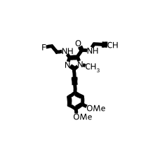 C#CCNC(=O)c1c(NCCF)nc(C#Cc2ccc(OC)c(OC)c2)n1C